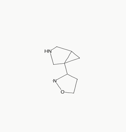 C1CC(C23CNCC2C3)[N]O1